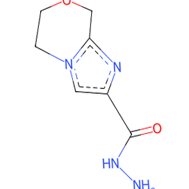 NNC(=O)c1cn2c(n1)COCC2